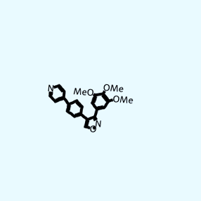 COc1cc(-c2nocc2-c2ccc(-c3ccncc3)cc2)cc(OC)c1OC